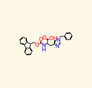 O=C(NC(Cc1cn(Cc2ccccc2)cn1)C(=O)O)OCC1c2ccccc2-c2ccccc21